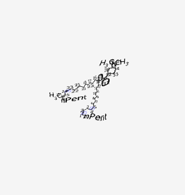 CCCCC/C=C\C/C=C\CCCCCCCCC(CCCCCCCC/C=C\CC(C)CCCCC)OC(=O)C1CCC(N(C)C)C1